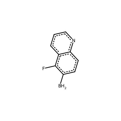 Bc1ccc2ncccc2c1F